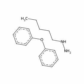 CCCCCNN.c1ccc(Oc2ccccc2)cc1